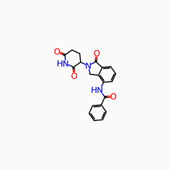 O=C1CCC(N2Cc3c(NC(=O)c4ccccc4)cccc3C2=O)C(=O)N1